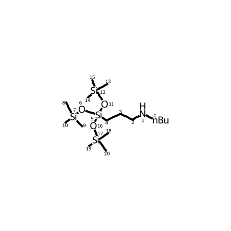 CCCCNCCC[Si](O[Si](C)(C)C)(O[Si](C)(C)C)O[Si](C)(C)C